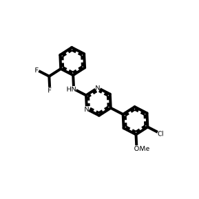 COc1cc(-c2cnc(Nc3ccccc3C(F)F)nc2)ccc1Cl